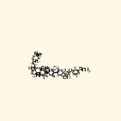 COc1ccnc(OCCC2(C(=O)O)CC=C(C3=CCC4(C)C(CCC5(C)C4CCC4[C@H]6CCC[C@]6(NCCN6CCS(=O)(=O)CC6)CC[C@]45C)C3C)CC2)c1